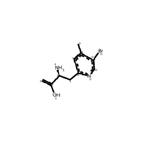 C=C(O)[C@@H](N)Cc1cc(C)c(Br)cn1